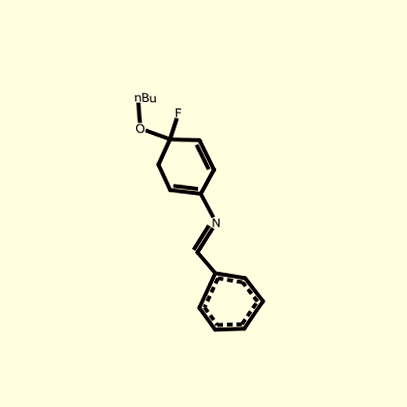 CCCCOC1(F)C=CC(N=Cc2ccccc2)=CC1